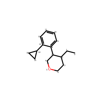 CCC1CCOCC1c1ccccc1C1CC1